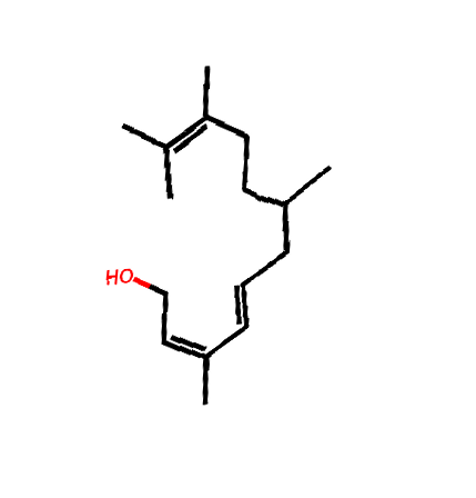 CC(C=CCC(C)CCC(C)=C(C)C)=CCO